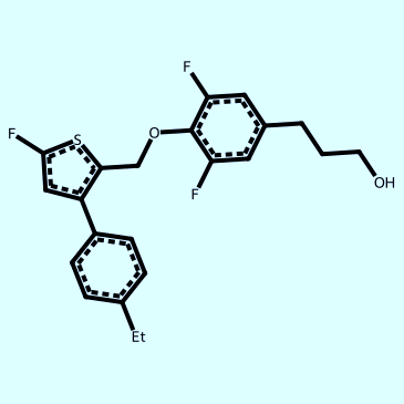 CCc1ccc(-c2cc(F)sc2COc2c(F)cc(CCCO)cc2F)cc1